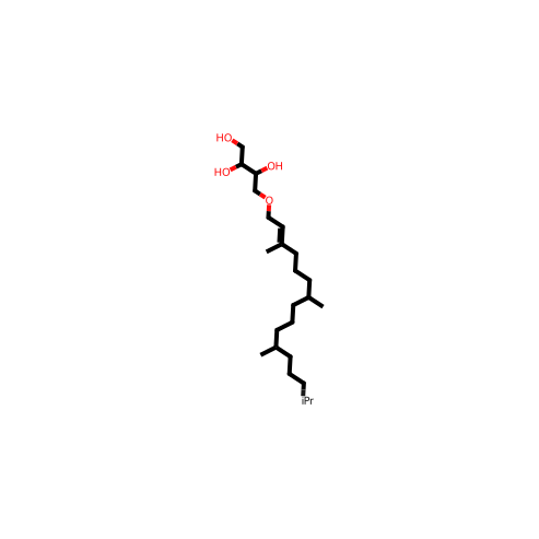 C/C(=C\COCC(O)C(O)CO)CCCC(C)CCCC(C)CCCC(C)C